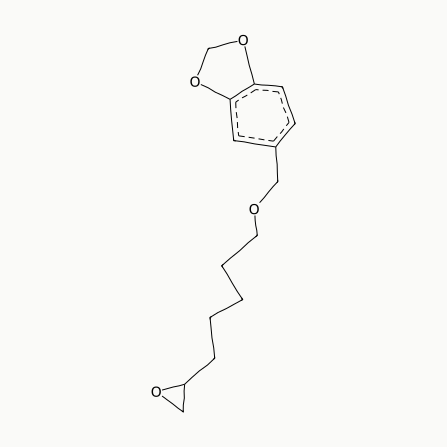 c1cc2c(cc1COCCCCCC1CO1)OCO2